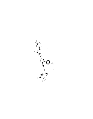 COC(=O)N[C@H](C(=O)N1CCC[C@H]1c1ncc(-c2ccc(C#CC#Cc3cnc([C@@H]4CCCN4C(=O)O)[nH]3)c(-c3ccc(C(C)(C)C)cc3)c2)[nH]1)C(C)C